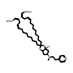 CCCCC/C=C\C/C=C\CCCCCCCCC1(CCCCCCCC/C=C\C/C=C\CCCCC)OC2C[C@H](N(C)CCc3ccncc3)C[C@H]2O1